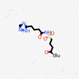 CC(C)(C)C(=O)CCCS(=O)(=O)NC(=O)CCCc1ncn[nH]1